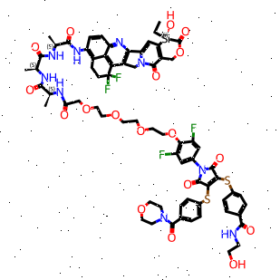 CC[Si@@]1(O)C(=O)OCc2c1cc1n(c2=O)Cc2c-1nc1ccc(NC(=O)[C@H](C)NC(=O)[C@H](C)NC(=O)[C@H](C)NC(=O)COCCOCCOCCOc3c(F)cc(N4C(=O)C(Sc5ccc(C(=O)NCCO)cc5)=C(Sc5ccc(C(=O)N6CCOCC6)cc5)C4=O)cc3F)c3c1c2C(F)(F)CC3